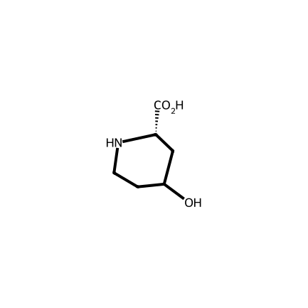 O=C(O)[C@@H]1CC(O)CCN1